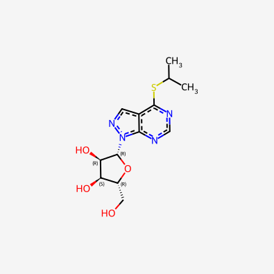 CC(C)Sc1ncnc2c1cnn2[C@@H]1O[C@H](CO)[C@@H](O)[C@H]1O